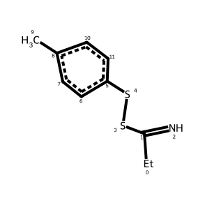 CCC(=N)SSc1ccc(C)cc1